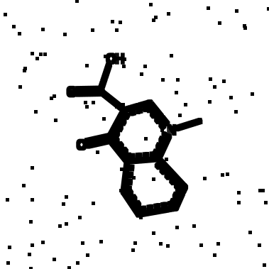 Cn1cc(C(=O)O)c(=O)c2ccccc21